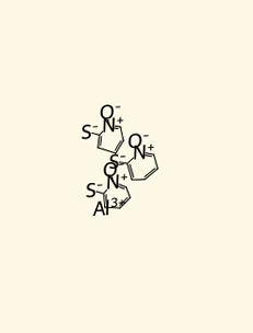 [Al+3].[O-][n+]1ccccc1[S-].[O-][n+]1ccccc1[S-].[O-][n+]1ccccc1[S-]